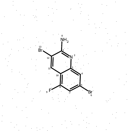 Nc1nc2cc(Br)cc(F)c2cc1Br